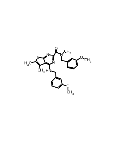 COc1cccc(CNc2nc(C(=O)N(C)Cc3cccc(OC)c3)nc3sc(C)c(C)c23)c1